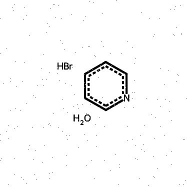 Br.O.c1ccncc1